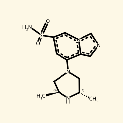 C[C@H]1CN(c2cc(S(N)(=O)=O)cn3cncc23)C[C@H](C)N1